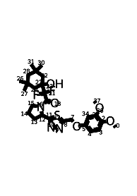 COc1ccc(OCc2nnc(C3CCCN3C(=O)C(F)(F)C3(O)CC(C)(C)CC(C)(C)C3)s2)cc1OC